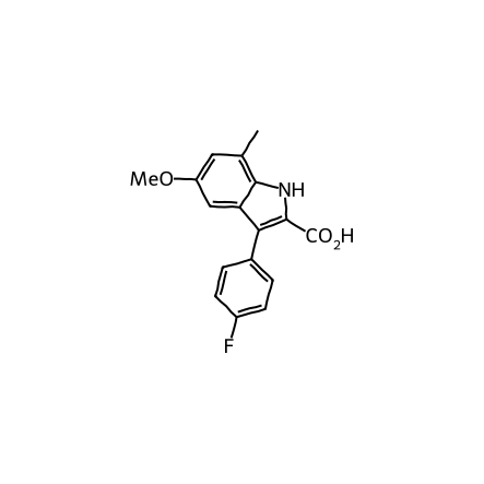 COc1cc(C)c2[nH]c(C(=O)O)c(-c3ccc(F)cc3)c2c1